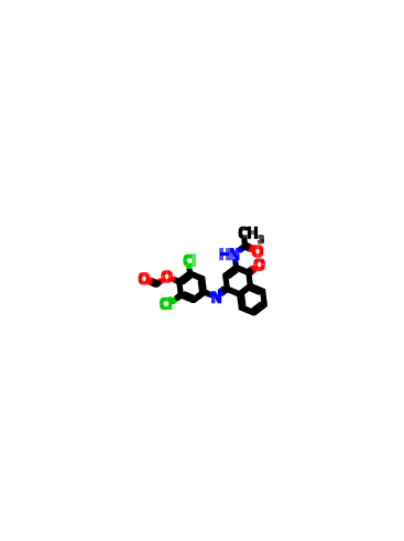 CC(=O)NC1=CC(=Nc2cc(Cl)c(OC=O)c(Cl)c2)c2ccccc2C1=O